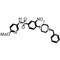 COc1ccc(NS(=O)(=O)c2ccc(N3CCN(Cc4ccccc4)CC3)c([N+](=O)[O-])c2)cn1